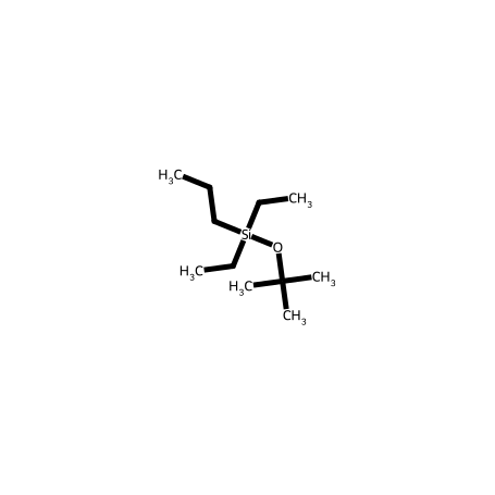 CCC[Si](CC)(CC)OC(C)(C)C